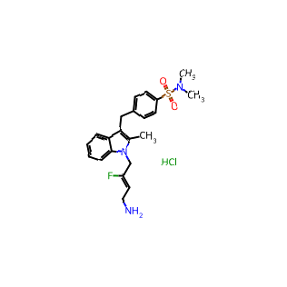 Cc1c(Cc2ccc(S(=O)(=O)N(C)C)cc2)c2ccccc2n1CC(F)=CCN.Cl